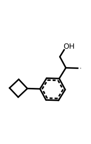 [CH2]C(CO)c1cccc(C2CCC2)c1